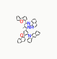 CC1=C(c2cc(-n3c4ccccc4c4cc5ccccc5cc43)c3c(c2)oc2c4ccccc4ccc23)NC(c2cccc3ccccc23)N=C(c2cccc3c2oc2ccccc23)C1